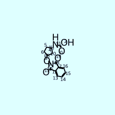 O=C(O)N[C@H]1CC[C@@H](ON2C(=O)c3ccccc3C2=O)C1